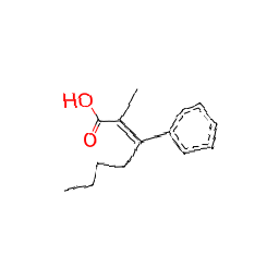 CCCC/C(=C(/C)C(=O)O)c1ccccc1